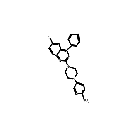 O=[N+]([O-])c1ccc(N2CCN(c3nc(-c4ccccc4)c4cc(Cl)ccc4n3)CC2)cc1